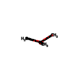 CCCCCCCCCCCCCCCCCCN1C=CN(CC)C1CCCCCCCCCCCCCCCCC